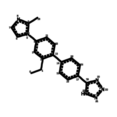 CCc1cc(-n2ccnc2C)ccc1-c1ccc(-c2nnn[nH]2)cc1